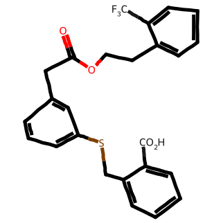 O=C(Cc1cccc(SCc2ccccc2C(=O)O)c1)OCCc1ccccc1C(F)(F)F